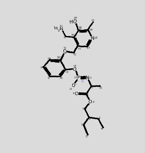 CCC(CC)COC(=O)C(C)/N=[P+](\[O-])Oc1ccccc1OCc1cnc(C)c(O)c1CN